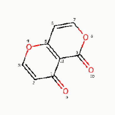 O=c1ccoc2ccoc(=O)c12